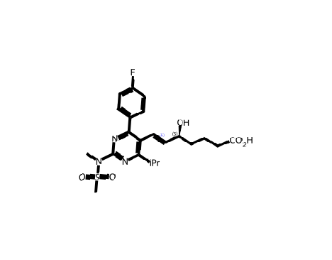 CC(C)c1nc(N(C)S(C)(=O)=O)nc(-c2ccc(F)cc2)c1/C=C/[C@@H](O)CCCC(=O)O